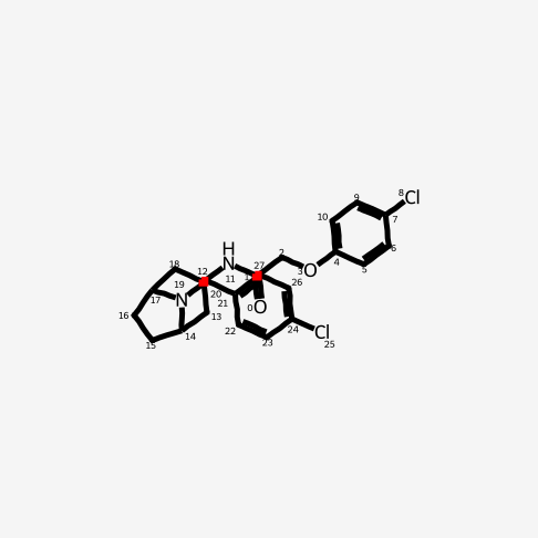 O=C(COc1ccc(Cl)cc1)NC1CC2CCC(C1)N2Cc1ccc(Cl)cc1